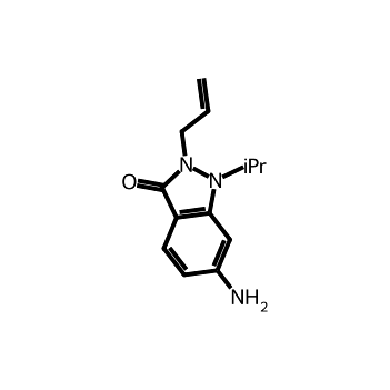 C=CCn1c(=O)c2ccc(N)cc2n1C(C)C